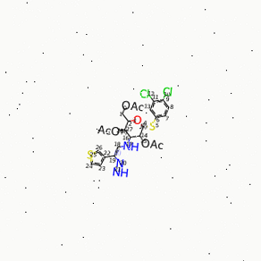 CC(=O)OCC1O[C@H](Sc2ccc(Cl)c(Cl)c2)C(OC(C)=O)C(N/C=C(\N=N)c2ccsc2)[C@H]1OC(C)=O